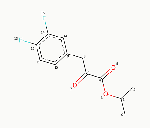 CC(C)OC(=O)C(=O)Cc1ccc(F)c(F)c1